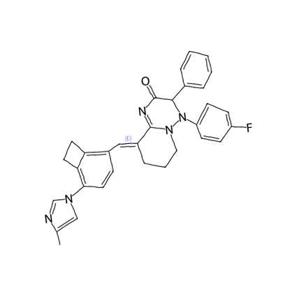 Cc1cn(-c2ccc(/C=C3\CCCN4C3=NC(=O)C(c3ccccc3)N4c3ccc(F)cc3)c3c2CC3)cn1